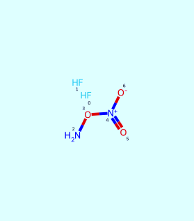 F.F.NO[N+](=O)[O-]